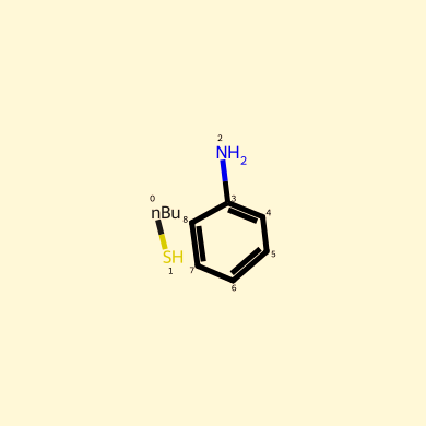 CCCCS.Nc1ccccc1